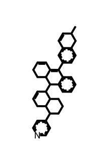 CC1C=Cc2cc(C3=C4C=CCCC4C(C4C=CCC5C(c6ccncc6)CCCC45)c4ccccc43)ccc2C1